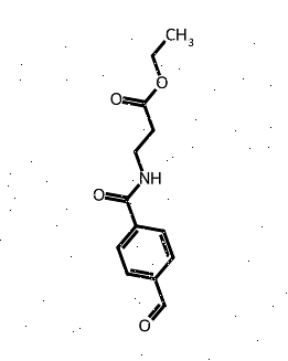 CCOC(=O)CCNC(=O)c1ccc(C=O)cc1